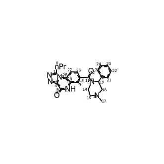 CCCc1nnc2c(=O)[nH]c3cc(C(=O)N4CCN(C)CC4c4ccccc4)ccc3n12